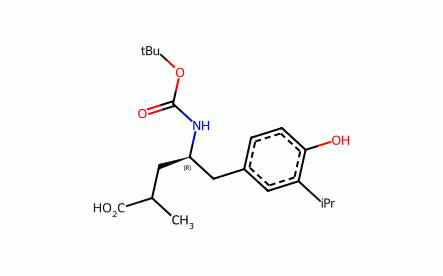 CC(C[C@H](Cc1ccc(O)c(C(C)C)c1)NC(=O)OC(C)(C)C)C(=O)O